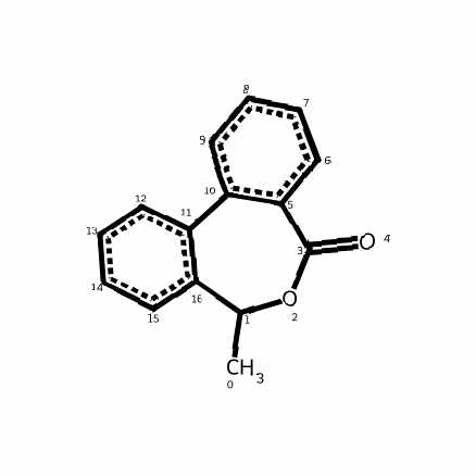 CC1OC(=O)c2ccccc2-c2ccccc21